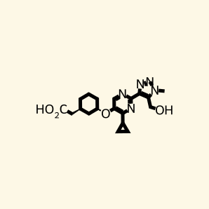 Cn1nnc(-c2ncc(O[C@H]3CCC[C@H](CC(=O)O)C3)c(C3CC3)n2)c1CO